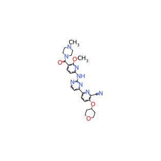 COc1nc(Nc2nccc(-c3ccc(OC4CCOCC4)c(C#N)n3)n2)ccc1C(=O)N1CCN(C)CC1